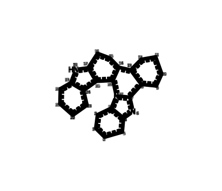 c1ccc2c(c1)nc1c3ccccc3c3ccc4[nH]c5ccccc5c4c3n21